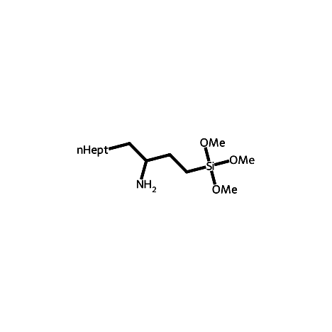 CCCCCCCCC(N)CC[Si](OC)(OC)OC